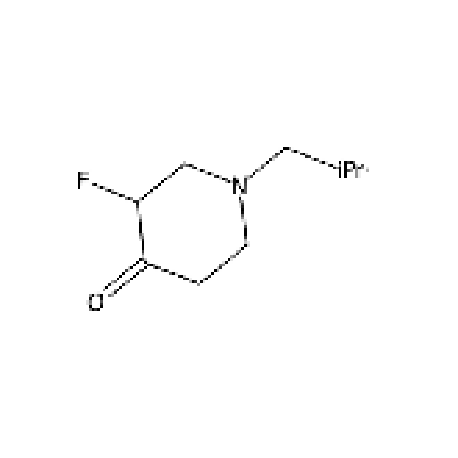 C[C](C)CN1CCC(=O)C(F)C1